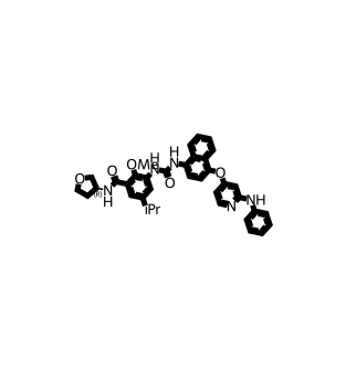 COc1c(NC(=O)Nc2ccc(Oc3ccnc(Nc4ccccc4)c3)c3ccccc23)cc(C(C)C)cc1C(=O)N[C@@H]1CCOC1